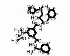 C[C@@H](NC(=O)c1cc(C(=O)N[C@@H](Cc2ccccc2)[C@H](O)CN(C)c2c[nH]cn2)cc(N(C)S(C)(=O)=O)c1)c1ccccc1